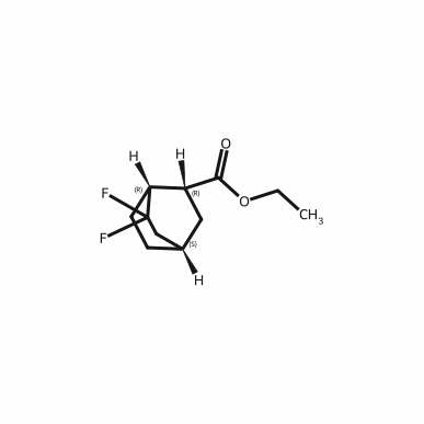 CCOC(=O)[C@@H]1C[C@@H]2CC[C@H]1C(F)(F)C2